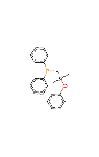 C[Si](C)(CP(c1ccccc1)c1ccccc1)Oc1ccccc1